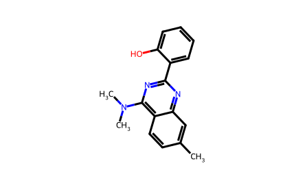 Cc1ccc2c(N(C)C)nc(-c3ccccc3O)nc2c1